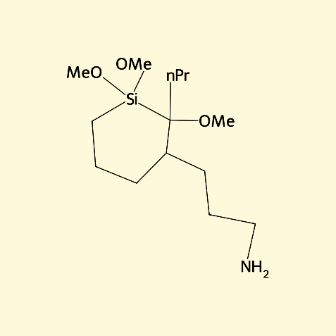 CCCC1(OC)C(CCCN)CCC[Si]1(OC)OC